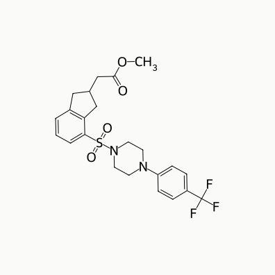 COC(=O)CC1Cc2cccc(S(=O)(=O)N3CCN(c4ccc(C(F)(F)F)cc4)CC3)c2C1